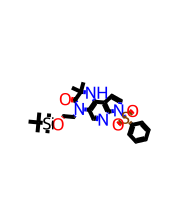 CC1(C)Nc2c(cnc3c2ccn3S(=O)(=O)c2ccccc2)N(CCO[Si](C)(C)C(C)(C)C)C1=O